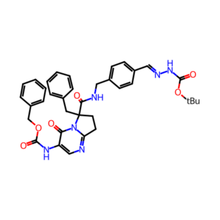 CC(C)(C)OC(=O)NN=Cc1ccc(CNC(=O)C2(Cc3ccccc3)CCc3ncc(NC(=O)OCc4ccccc4)c(=O)n32)cc1